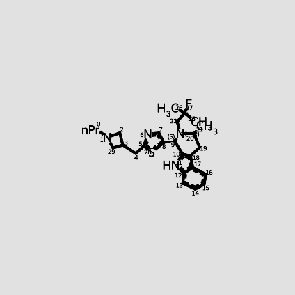 CCCN1CC(Cc2ncc([C@@H]3c4[nH]c5ccccc5c4C[C@@H](C)N3CC(C)(C)F)s2)C1